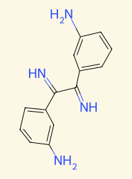 N=C(C(=N)c1cccc(N)c1)c1cccc(N)c1